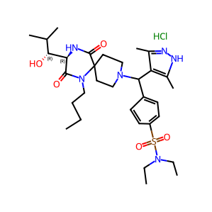 CCCCN1C(=O)[C@@H]([C@H](O)C(C)C)NC(=O)C12CCN(C(c1ccc(S(=O)(=O)N(CC)CC)cc1)c1c(C)n[nH]c1C)CC2.Cl